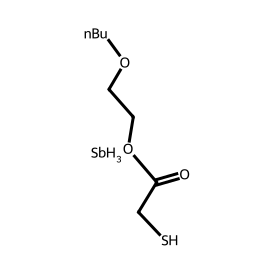 CCCCOCCOC(=O)CS.[SbH3]